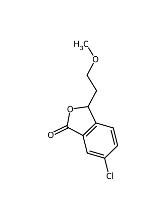 COCCC1OC(=O)c2cc(Cl)ccc21